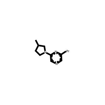 CC1CCN(c2cncc(C(C)C)n2)C1